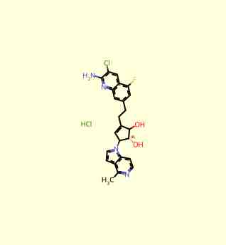 Cc1nccc2c1ccn2C1C=C(CCc2cc(F)c3cc(Cl)c(N)nc3c2)C(O)[C@@H]1O.Cl